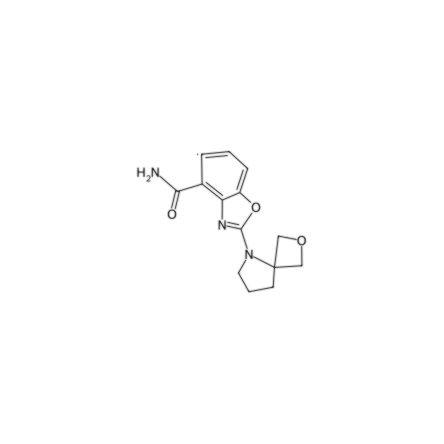 NC(=O)c1[c]ccc2oc(N3CCCC34COC4)nc12